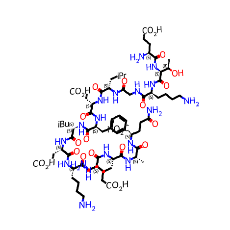 CC[C@H](C)[C@H](NC(=O)[C@H](Cc1ccccc1)NC(=O)[C@H](CC(=O)O)NC(=O)[C@H](CC(C)C)NC(=O)CNC(=O)[C@H](CCCCN)NC(=O)[C@@H](NC(=O)[C@@H](N)CCC(=O)O)[C@@H](C)O)C(=O)N[C@@H](CC(=O)O)C(=O)N[C@@H](CCCCN)C(=O)N[C@@H](CCC(=O)O)C(=O)N[C@@H](CCCCN)C(=O)N[C@@H](C)C(=O)N[C@@H](CCC(N)=O)C(=O)O